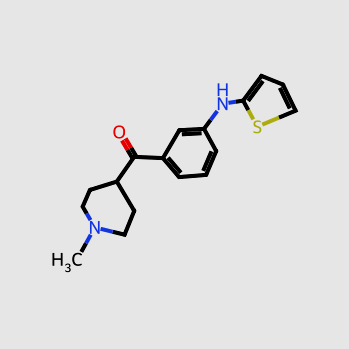 CN1CCC(C(=O)c2cccc(Nc3cccs3)c2)CC1